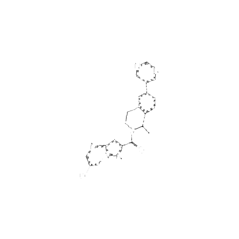 CC1c2ccc(-c3cncnc3)cc2CCN1C(=O)c1cc2ncc(Br)cn2n1